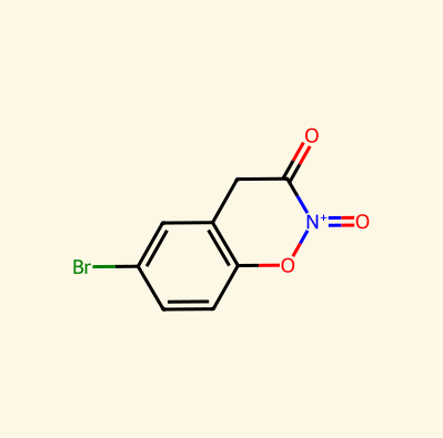 O=C1Cc2cc(Br)ccc2O[N+]1=O